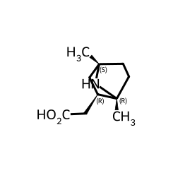 C[C@@]12CC[C@@](C)(N1)[C@@H](CC(=O)O)C2